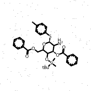 Cc1ccc(S[C@@H]2OC(COC(=O)c3ccccc3)C(O[Si](C)(C)C(C)(C)C)[C@H](OC(=O)c3ccccc3)C2N)cc1